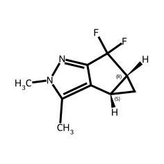 Cc1c2c(nn1C)C(F)(F)[C@@H]1C[C@H]21